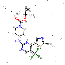 Cc1ncc(-c2nc(NC3CCN(C(=O)OC(C)(C)C)CC3)ncc2C(F)(F)F)s1